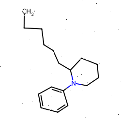 [CH2]CCCCCC1CCCCN1c1ccccc1